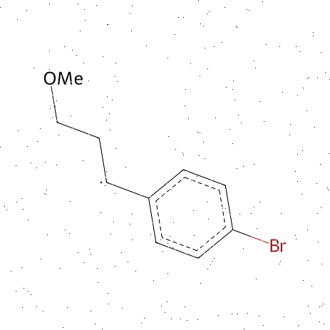 COCC[CH]c1ccc(Br)cc1